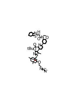 Cc1c(-c2ccc(-c3ccc4c(c3)N(C(=O)Nc3nc5ccccc5s3)CCO4)nc2C(=O)OC(C)(C)C)cnn1CC12CC3(C)CC(C)(C1)CC(OCCN=[N+]=[N-])(C3)C2